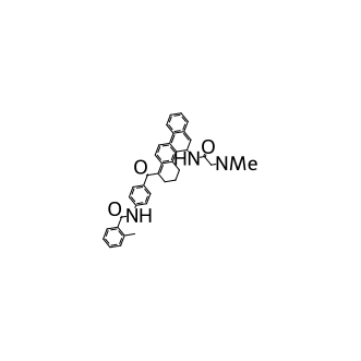 CNCC(=O)NC1C=c2ccccc2=c2ccc3c(c21)CCCC=3C(=O)c1ccc(NC(=O)c2ccccc2C)cc1